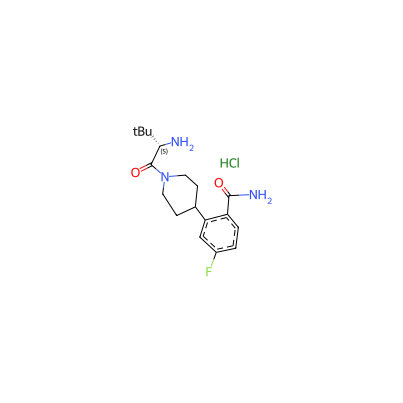 CC(C)(C)[C@H](N)C(=O)N1CCC(c2cc(F)ccc2C(N)=O)CC1.Cl